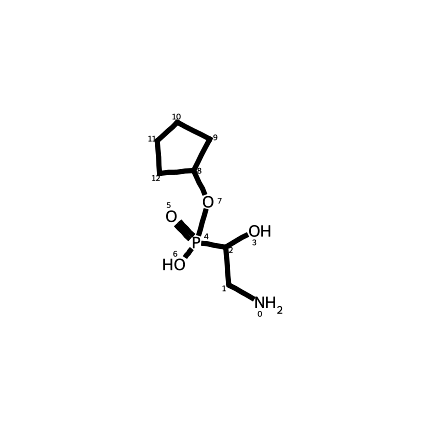 NCC(O)P(=O)(O)OC1CCCC1